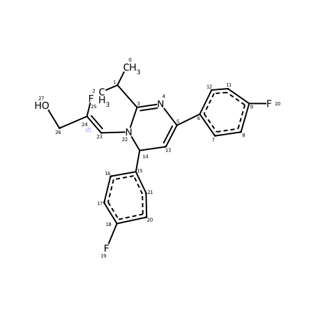 CC(C)C1=NC(c2ccc(F)cc2)=CC(c2ccc(F)cc2)N1/C=C(\F)CO